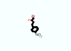 O=C(CBr)CCc1ccc([N+](=O)[O-])cc1